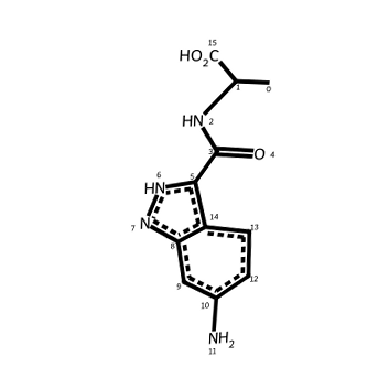 CC(NC(=O)c1[nH]nc2cc(N)ccc12)C(=O)O